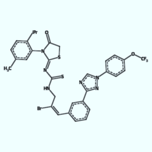 Cc1ccc(C(C)C)c(N2C(=O)CS/C2=N\C(=S)NC/C(Br)=C\c2cccc(-c3ncn(-c4ccc(OC(F)(F)F)cc4)n3)c2)c1